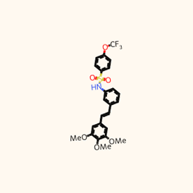 COc1cc(C=Cc2cccc(NS(=O)(=O)c3ccc(OC(F)(F)F)cc3)c2)cc(OC)c1OC